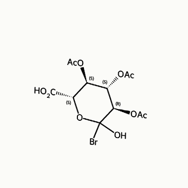 CC(=O)O[C@H]1[C@H](OC(C)=O)[C@@H](OC(C)=O)C(O)(Br)O[C@@H]1C(=O)O